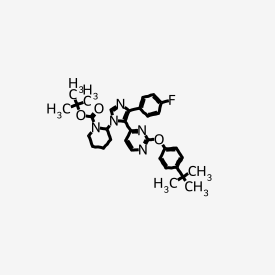 CC(C)(C)OC(=O)N1CCCCC1n1cnc(-c2ccc(F)cc2)c1-c1ccnc(Oc2ccc(C(C)(C)C)cc2)n1